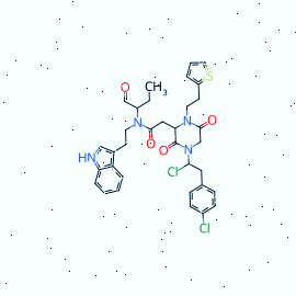 CCC(C=O)N(CCc1c[nH]c2ccccc12)C(=O)CC1C(=O)N(C(Cl)Cc2ccc(Cl)cc2)CC(=O)N1CCc1cccs1